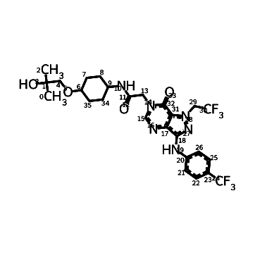 CC(C)(O)COC1CCC(NC(=O)Cn2cnc3c(Nc4ccc(C(F)(F)F)cc4)nn(CC(F)(F)F)c3c2=O)CC1